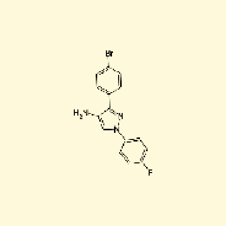 Nc1cn(-c2ccc(F)cc2)nc1-c1ccc(Br)cc1